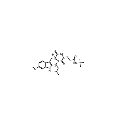 COc1ccc2c3c([nH]c2c1)[C@H](CC(C)C)N1C(=O)[C@H](CCC(=O)NC(C)(C)C)NC(=O)[C@@H]1C3